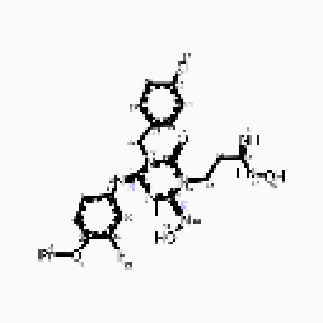 CC(C)Oc1ccc(/N=c2\[nH]/c(=N\O)n(CCC(=N)NO)c(=O)n2Cc2ccc(Cl)cc2)cc1F